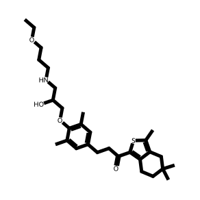 CCOCCCNCC(O)COc1c(C)cc(CCC(=O)c2sc(C)c3c2CCC(C)(C)C3)cc1C